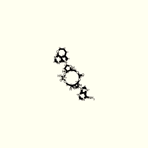 Nc1ncnc2c1ncn2[C@@H]1O[C@@H]2COP(=O)(S)O[C@H]3C[C@H](n4cc5c6c(ncnc64)OCCC5)O[C@@H]3COC(=O)O[C@@H]1[C@@H]2O